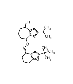 CC(C)c1cc2c(o1)C(O/N=C1/CCCc3oc(C(C)(C)C)cc31)CCCC2O